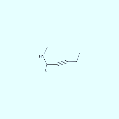 [CH2]C(C#CCC)NC